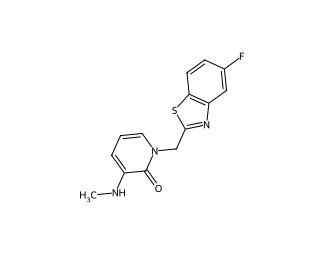 CNc1cccn(Cc2nc3cc(F)ccc3s2)c1=O